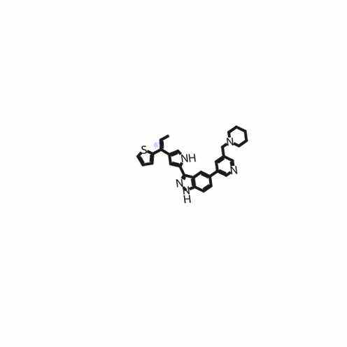 C/C=C(\c1c[nH]c(-c2n[nH]c3ccc(-c4cncc(CN5CCCCC5)c4)cc23)c1)c1cccs1